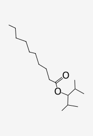 CCCCCCCCCC(=O)OC(C(C)C)C(C)C